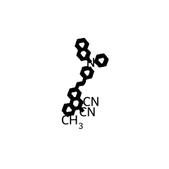 Cc1ccc2c(c1)c(C#N)c(C#N)c1cc(C=Cc3ccc(N(c4ccccc4)c4ccc5ccccc5c4)cc3)ccc12